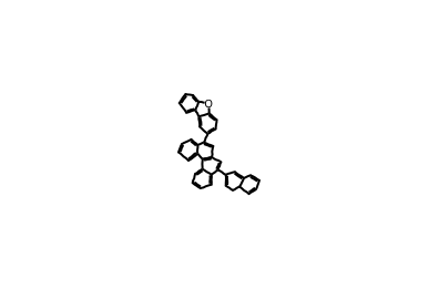 C1=CC2=CC(c3cc4cc(-c5ccc6oc7ccccc7c6c5)c5ccccc5c4c4ccccc34)=CCC2C=C1